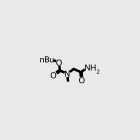 CCCCOC(=O)N(C)CC(N)=O